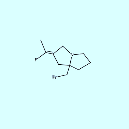 C/C(F)=C1\CN2CCCC2(CC(C)C)C1